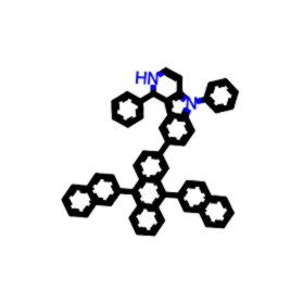 C1=Cc2c(c3cc(-c4ccc5c(-c6ccc7ccccc7c6)c6ccccc6c(-c6ccc7ccccc7c6)c5c4)ccc3n2-c2ccccc2)C(c2ccccc2)N1